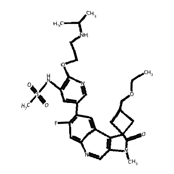 CCOCC1CC2(C1)C(=O)N(C)c1cnc3cc(F)c(-c4cnc(OCCNC(C)C)c(NS(C)(=O)=O)c4)cc3c12